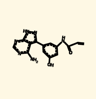 C=CC(=O)Nc1cc(O)cc(-c2n[nH]c3ncnc(N)c23)c1